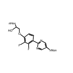 CCCCCCCCCc1cnc(-c2ccc(OCC(O)CCCCCC)c(F)c2F)nc1